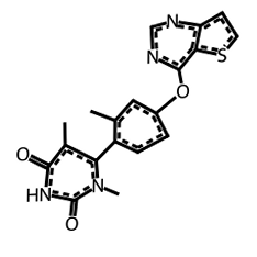 Cc1cc(Oc2ncnc3ccsc23)ccc1-c1c(C)c(=O)[nH]c(=O)n1C